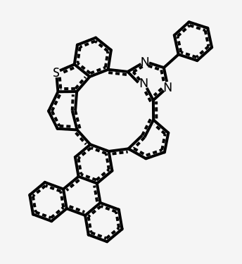 c1ccc(-c2nc3nc(n2)c2cccc4sc5ccc(cc5c42)c2cc4c5ccccc5c5ccccc5c4cc2c2cccc3c2)cc1